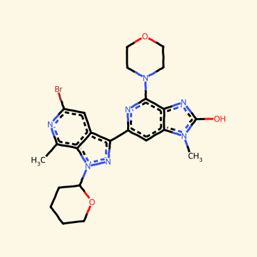 Cc1nc(Br)cc2c(-c3cc4c(nc(O)n4C)c(N4CCOCC4)n3)nn(C3CCCCO3)c12